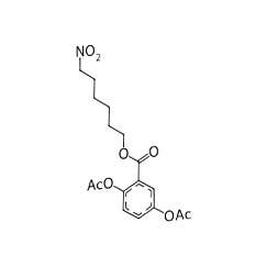 CC(=O)Oc1ccc(OC(C)=O)c(C(=O)OCCCCCC[N+](=O)[O-])c1